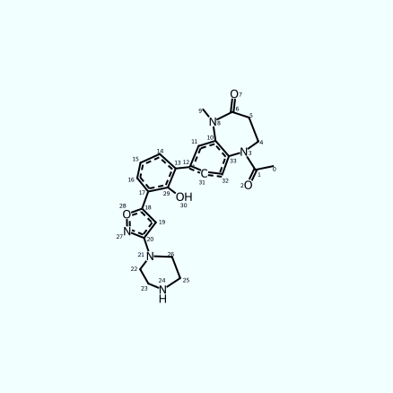 CC(=O)N1CCC(=O)N(C)c2cc(-c3cccc(-c4cc(N5CCNCC5)no4)c3O)ccc21